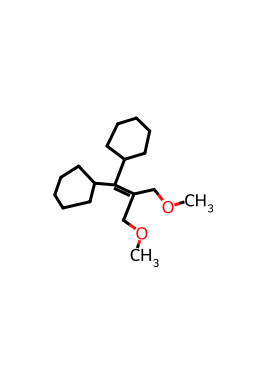 COCC(COC)=C(C1CCCCC1)C1CCCCC1